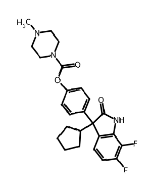 CN1CCN(C(=O)Oc2ccc(C3(C4CCCC4)C(=O)Nc4c3ccc(F)c4F)cc2)CC1